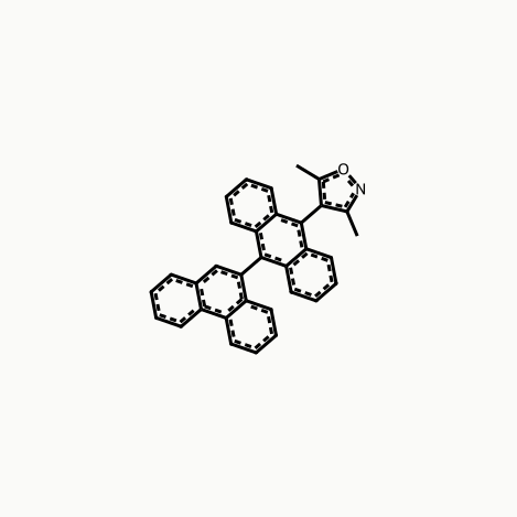 Cc1noc(C)c1-c1c2ccccc2c(-c2cc3ccccc3c3ccccc23)c2ccccc12